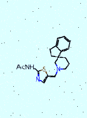 CC(=O)Nc1ncc(CN2CCCC3(CCc4ccccc43)C2)s1